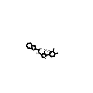 Cc1ccc(-c2scc(NC(=O)c3cc4ccccc4s3)c2C(=O)O)cc1C